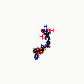 CN1CCC(OC(=O)[C@](O)(c2ccccc2)c2cccc(-c3ccc(CNC(=O)c4ccc(CNC[C@H](O)c5ccc(O)c6[nH]c(=O)ccc56)cc4)s3)c2)CC1